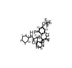 C[C@@](C(=O)NC1CCCCC1)(c1cncnc1)N(C(=O)[C@H](F)Cl)c1ccc(OC(F)(F)F)cc1F